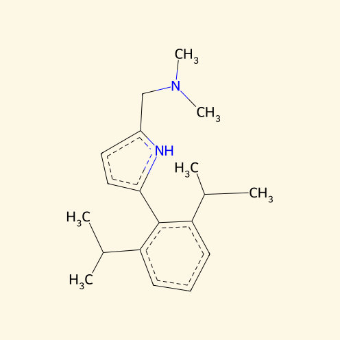 CC(C)c1cccc(C(C)C)c1-c1ccc(CN(C)C)[nH]1